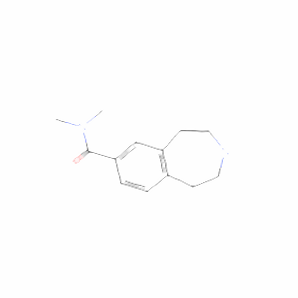 CN(C)C(=O)c1ccc2c(c1)CCNCC2